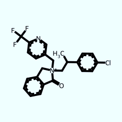 CC(C[N+]1(Cc2ccc(C(F)(F)F)nc2)Cc2ccccc2C1=O)c1ccc(Cl)cc1